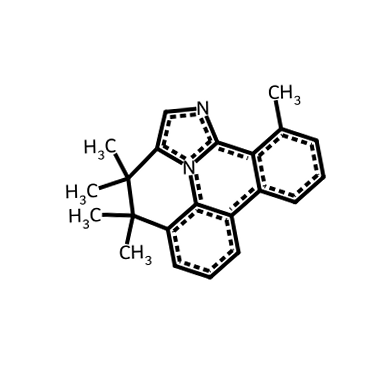 Cc1cccc2c3cccc4c3n3c(cnc3c12)C(C)(C)C4(C)C